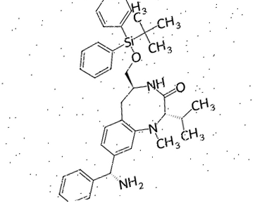 CC(C)[C@H]1C(=O)N[C@H](CO[Si](c2ccccc2)(c2ccccc2)C(C)(C)C)Cc2ccc([C@H](N)c3ccccc3)cc2N1C